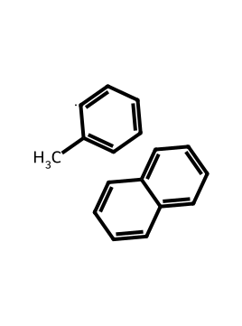 Cc1[c]cccc1.c1ccc2ccccc2c1